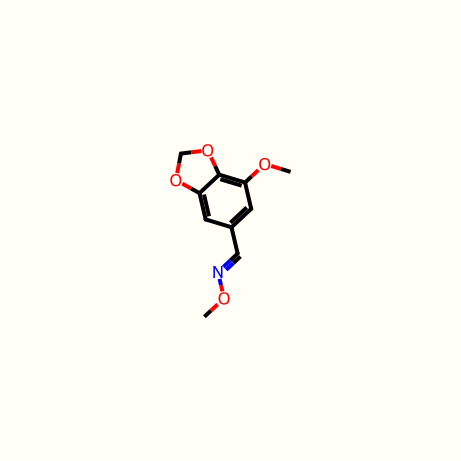 CON=Cc1cc(OC)c2c(c1)OCO2